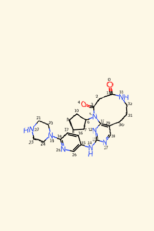 O=C1CC(=O)N(C2CCCC2)c2nc(Nc3ccc(N4CCNCC4)nc3)ncc2CCCN1